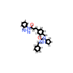 Nc1ccccc1NC(=O)/C=C/c1ccc(CN(C(=O)NCc2ccccc2)C2CCCC2)cc1